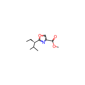 CC[C@@H](c1nc(C(=O)OC)co1)C(C)C